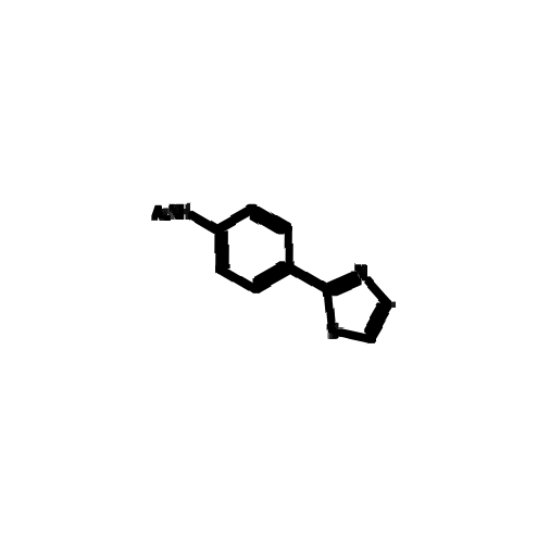 CC(=O)Nc1ccc(-c2n[c]cs2)cc1